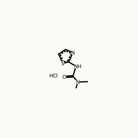 CN(C)C(=O)Nc1nccs1.Cl